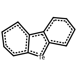 c1ccc2c(c1)[te]c1ccccc12